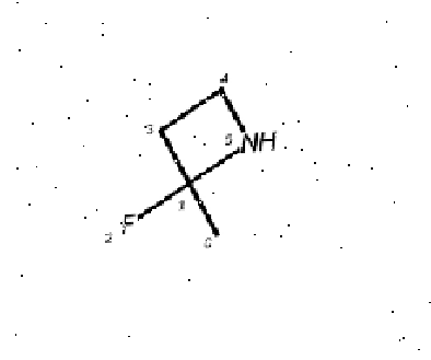 CC1(F)CCN1